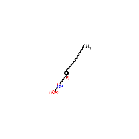 CCCCCCCCCCCCCCCCC=Cc1ccc(C(=O)CCCCCCONCCCC(=O)O)cc1